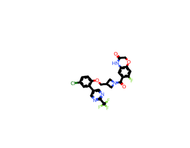 O=C1COc2cc(F)c(C(=O)N3CC(COc4ccc(Cl)cc4-c4cnc(C(F)(F)F)nc4)C3)cc2N1